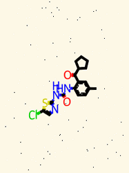 Cc1ccc(NC(=O)Nc2ncc(Cl)s2)c(C(=O)C2CCCC2)c1